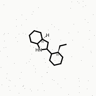 CC[C@H]1CCCCC1C1C[C@@H]2CCCCC2N1